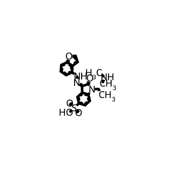 CCN1C(=O)C(=NNc2cccc3occc23)c2cc(S(=O)(=O)O)ccc21.CNC